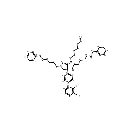 O=CCCCCCOC(=O)C(CCCCCCOCc1ccccc1)(CCCCCCOCc1ccccc1)c1ccc(-c2cccc(F)c2F)cc1